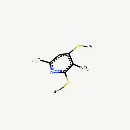 Cc1cc(SC(C)C)c([N+](=O)[O-])c(SC(C)C)n1